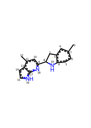 Cc1ccc2c(c1)CC(c1cc(C)c3cc[nH]c3n1)N2